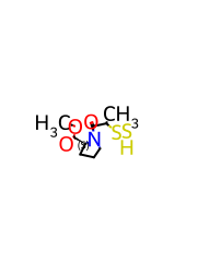 COC(=O)[C@@H]1CCCN1C(=O)C(C)SS